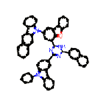 c1ccc(-n2c3ccccc3c3cc(C4=NC(c5ccc6ccccc6c5)NC(c5cc(-n6c7ccccc7c7cc8ccccc8cc76)cc6c5oc5ccccc56)=N4)ccc32)cc1